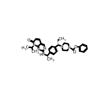 CC[C@@H](c1ccc([C@H](C)Nc2ncc3ccc(=O)n(C(C)C)c3n2)cc1)N1CCN(C(=O)Oc2ccccc2)CC1